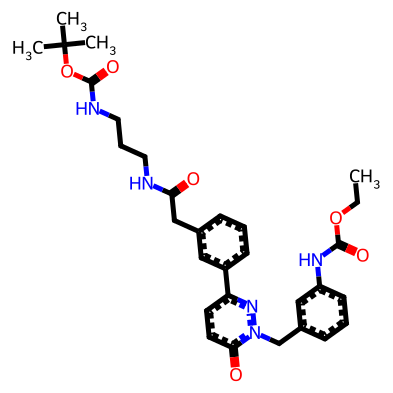 CCOC(=O)Nc1cccc(Cn2nc(-c3cccc(CC(=O)NCCCNC(=O)OC(C)(C)C)c3)ccc2=O)c1